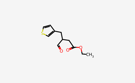 CCOC(=O)CC(C=O)Cc1ccsc1